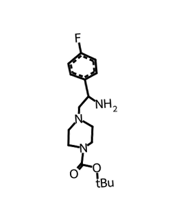 CC(C)(C)OC(=O)N1CCN(CC(N)c2ccc(F)cc2)CC1